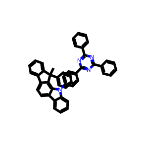 CC1(c2ccccc2)c2ccccc2-c2ccc3c4ccccc4n(-c4ccc(-c5nc(-c6ccccc6)nc(-c6ccccc6)n5)cc4)c3c21